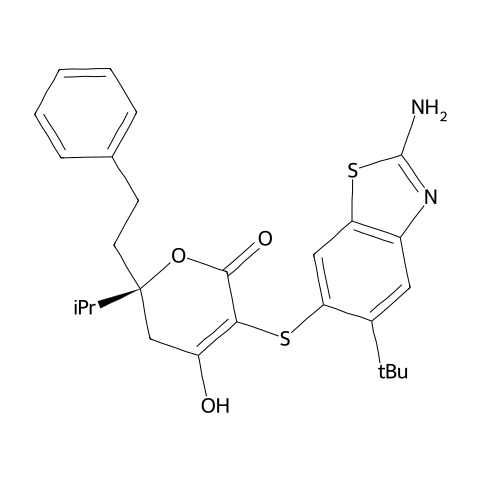 CC(C)[C@]1(CCc2ccccc2)CC(O)=C(Sc2cc3sc(N)nc3cc2C(C)(C)C)C(=O)O1